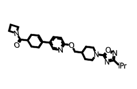 CC(C)c1noc(N2CCC(COc3ccc(C4=CCC(C(=O)N5CCC5)CC4)cn3)CC2)n1